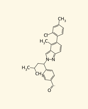 Cc1ccc(-c2ccc3nn(C(CC(C)C)c4ccc([C]=O)cc4)cc3c2C)c(Cl)c1